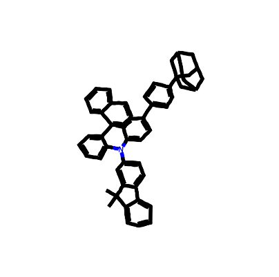 CC1(C)c2ccccc2-c2ccc(N(c3ccc(-c4ccc(C56CC7CC(CC(C7)C5)C6)cc4)cc3)c3ccccc3-c3cccc4ccccc34)cc21